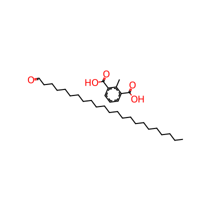 CCCCCCCCCCCCCCCCCCCCCCC=O.Cc1c(C(=O)O)cccc1C(=O)O